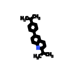 CC(C)c1ccc(-c2ccc3nc(C(C)C)ccc3c2)cc1